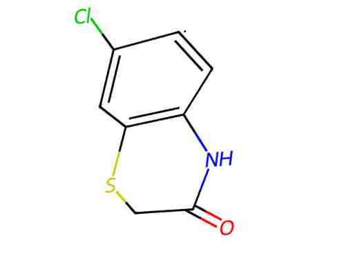 O=C1CSc2cc(Cl)[c]cc2N1